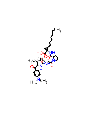 CCCCCCCC1C[C@]1(NC(=O)[C@@H]1CCCN1C(=O)CNC(=O)N[C@H](C(=O)c1ccc(N(C)C)cc1)C(C)C)C(=O)O